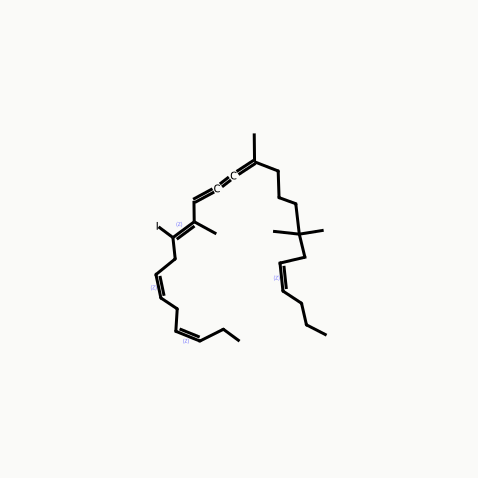 CC/C=C\C/C=C\C/C(I)=C(\C)C=C=C=C(C)CCCC(C)(C)C/C=C\CCC